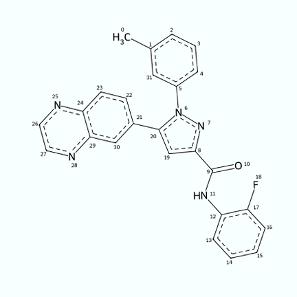 Cc1cccc(-n2nc(C(=O)Nc3ccccc3F)cc2-c2ccc3nccnc3c2)c1